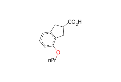 CCCOc1cccc2c1CC(C(=O)O)C2